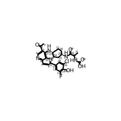 CC(=O)c1cnc2ccc(-c3cc(F)c(O)c(Cl)c3)nc2c1N[C@H]1CC[C@H](NC(=O)C(C)NC(=O)O)CC1